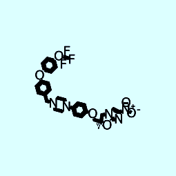 C[C@]1(COc2ccc(N3CCN(Cc4ccc(Oc5ccc(OC(F)(F)F)cc5)cc4)CC3)cc2)Cn2cc([N+](=O)[O-])nc2O1